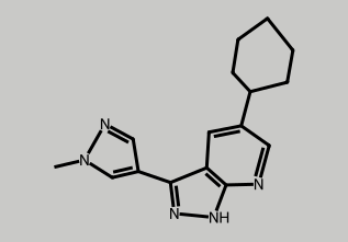 Cn1cc(-c2n[nH]c3ncc(C4CCCCC4)cc23)cn1